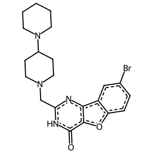 O=c1[nH]c(CN2CCC(N3CCCCC3)CC2)nc2c1oc1ccc(Br)cc12